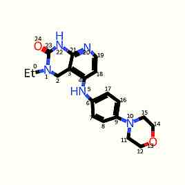 CCN1Cc2c(Nc3ccc(N4CCOCC4)cc3)ccnc2NC1=O